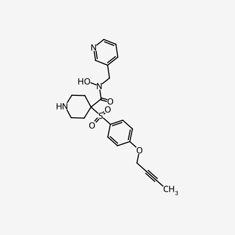 CC#CCOc1ccc(S(=O)(=O)C2(C(=O)N(O)Cc3cccnc3)CCNCC2)cc1